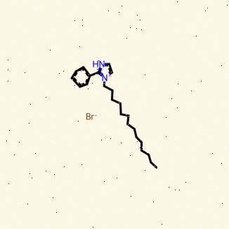 CCCCCCCCCCCCCC[n+]1cc[nH]c1-c1ccccc1.[Br-]